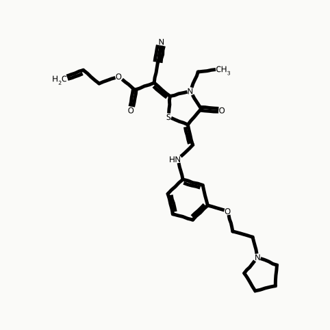 C=CCOC(=O)C(C#N)=c1sc(=CNc2cccc(OCCN3CCCC3)c2)c(=O)n1CC